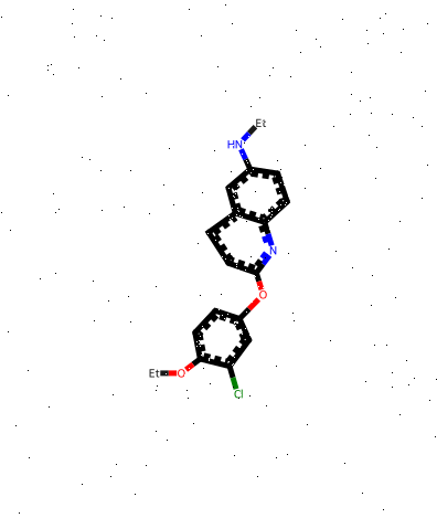 CCNc1ccc2nc(Oc3ccc(OCC)c(Cl)c3)ccc2c1